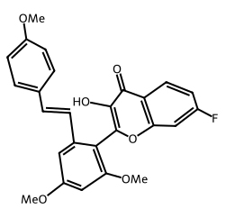 COc1ccc(C=Cc2cc(OC)cc(OC)c2-c2oc3cc(F)ccc3c(=O)c2O)cc1